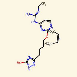 NC(=NCC(F)(F)F)Nc1ccnc(OCCCCc2n[nH]c(O)n2)n1.O=C(O)/C=C\C(=O)O